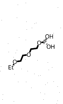 CCOCCOCCOP(O)O